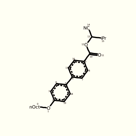 CCCCCCCCOc1ccc(-c2ccc(C(=O)OC(C#N)C(C)C)cc2)cc1